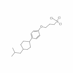 CC(C)CC1CCC(c2ccc(OCCC[Si](Cl)(Cl)Cl)cc2)CC1